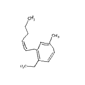 CCC/C=C\c1cc(C)ccc1CC